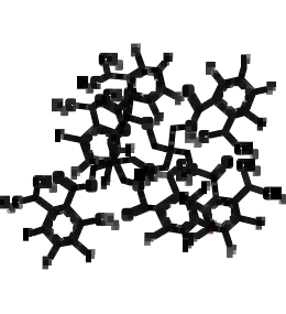 Cc1c(F)c(F)c(F)c(C(C)C)c1C(=O)OCC(COCC(COC(=O)c1c(F)c(F)c(F)c(F)c1C(C)C)(COC(=O)c1c(F)c(F)c(F)c(F)c1C(C)C)COC(=O)c1c(F)c(F)c(F)c(F)c1C(C)C)(COC(=O)c1c(F)c(F)c(F)c(F)c1C(C)C)COC(=O)c1c(F)c(F)c(F)c(F)c1C(C)C